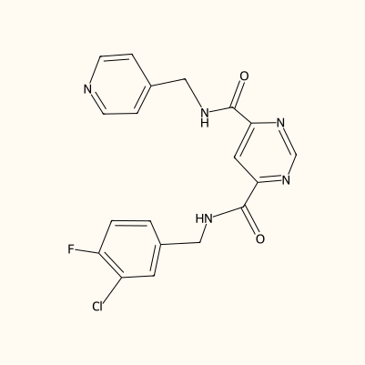 O=C(NCc1ccncc1)c1cc(C(=O)NCc2ccc(F)c(Cl)c2)ncn1